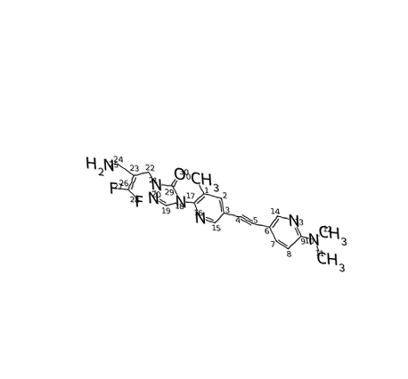 Cc1cc(C#Cc2ccc(N(C)C)nc2)cnc1-n1cnn(CC(CN)=C(F)F)c1=O